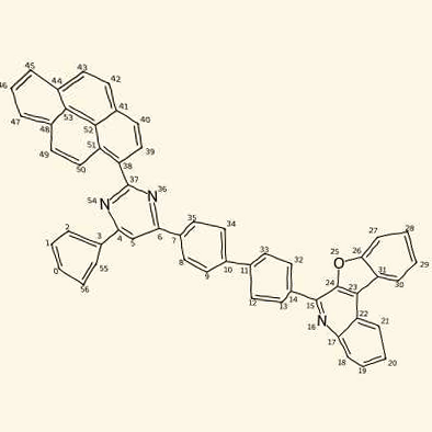 c1ccc(-c2cc(-c3ccc(-c4ccc(-c5nc6ccccc6c6c5oc5ccccc56)cc4)cc3)nc(-c3ccc4ccc5cccc6ccc3c4c56)n2)cc1